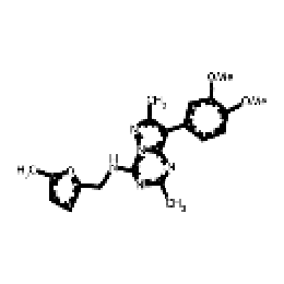 COc1ccc(-c2c(C)nn3c(NCc4ccc(C)o4)nc(C)nc23)cc1OC